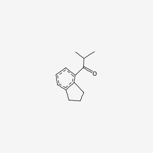 CC(C)C(=O)c1cccc2c1CCC2